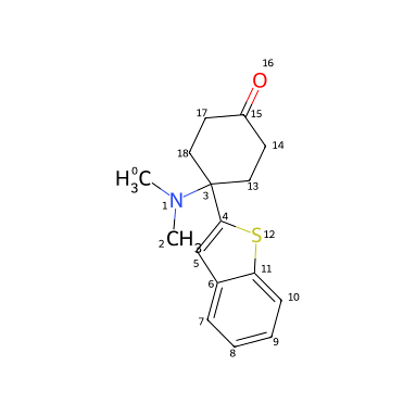 CN(C)C1(c2cc3ccccc3s2)CCC(=O)CC1